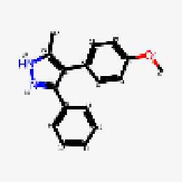 COc1ccc(-c2c(-c3ccccc3)n[nH]c2C)cc1